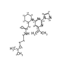 CC(C)OCCCNC(=O)CC1CCCCN1c1cc(C(C)C)nc(-n2ccnc2)n1